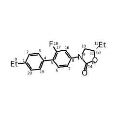 CCc1ccc(-c2ccc(N3C[C@H](CC)OC3=O)cc2F)cc1